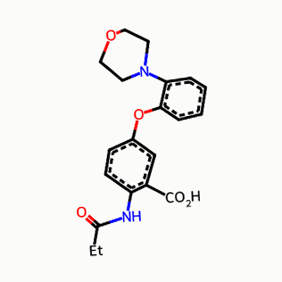 CCC(=O)Nc1ccc(Oc2ccccc2N2CCOCC2)cc1C(=O)O